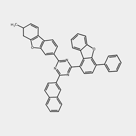 CC1C=Cc2c(oc3cc(-c4nc(-c5ccc6ccccc6c5)nc(-c5ccc(-c6ccccc6)c6oc7ccccc7c56)n4)ccc23)C1